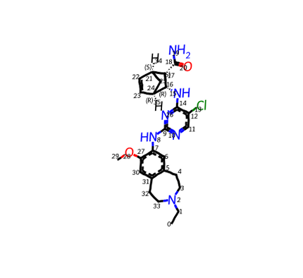 CCN1CCc2cc(Nc3ncc(Cl)c(N[C@H]4[C@@H](C(N)=O)[C@@H]5C=C[C@H]4C5)n3)c(OC)cc2CC1